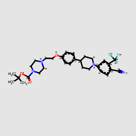 CC(C)(C)OC(=O)N1CCN(CCOc2ccc(C3CCN(c4ccc(C#N)c(C(F)(F)F)c4)CC3)cc2)CC1